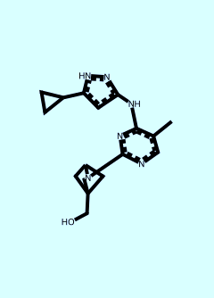 Cc1cnc(N2CC3(CO)CC2C3)nc1Nc1cc(C2CC2)[nH]n1